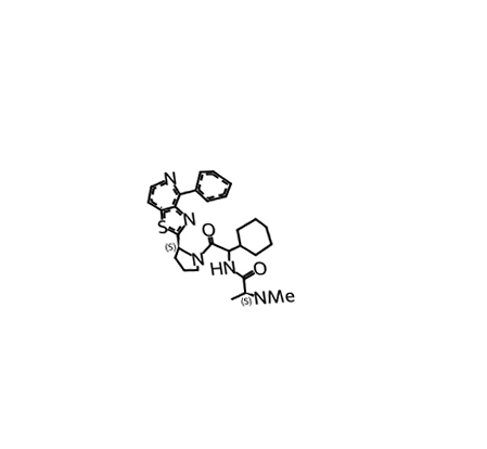 CN[C@@H](C)C(=O)NC(C(=O)N1CCC[C@H]1c1nc2c(-c3ccccc3)nccc2s1)C1CCCCC1